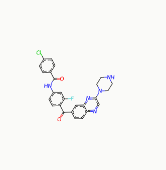 O=C(Nc1ccc(C(=O)c2ccc3ncc(N4CCNCC4)nc3c2)c(F)c1)c1ccc(Cl)cc1